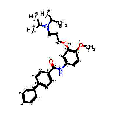 COc1ccc(NC(=O)c2ccc(-c3ccccc3)cc2)cc1OCCCN(C(C)C)C(C)C